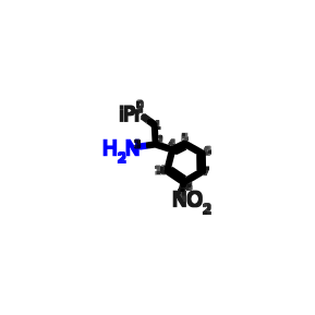 CC(C)CC(N)c1cccc([N+](=O)[O-])c1